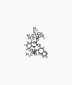 CC(C)(C)[Si](C)(C)ONC(=O)[C@@H](c1ccccc1)N(c1ccc2sccc2c1)S(C)(=O)=O